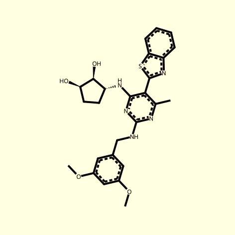 COc1cc(CNc2nc(C)c(-c3nc4ccccc4s3)c(N[C@@H]3CC[C@@H](O)[C@H]3O)n2)cc(OC)c1